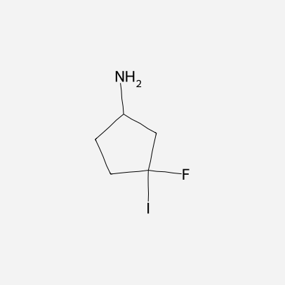 NC1CCC(F)(I)C1